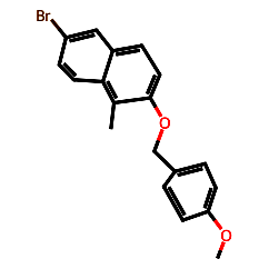 COc1ccc(COc2ccc3cc(Br)ccc3c2C)cc1